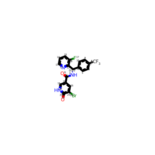 O=C(N[C@@H](c1ccc(C(F)(F)F)cc1)c1ncccc1F)c1c[nH]c(=O)c(Br)c1